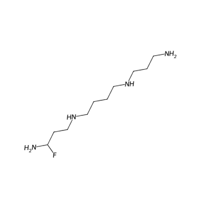 NCCCNCCCCNCCC(N)F